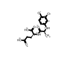 C[C@H](Nc1ccc(Cl)c(Cl)c1)C(=O)N[C@@H](CCC(=O)O)C(=O)O